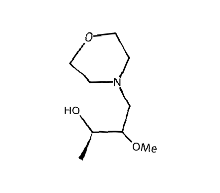 COC(CN1CCOCC1)[C@@H](C)O